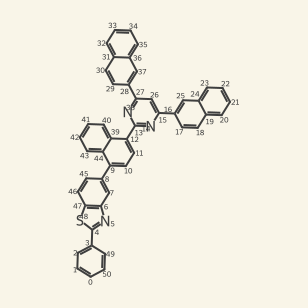 c1ccc(-c2nc3cc(-c4ccc(-c5nc(-c6ccc7ccccc7c6)cc(-c6ccc7ccccc7c6)n5)c5ccccc45)ccc3s2)cc1